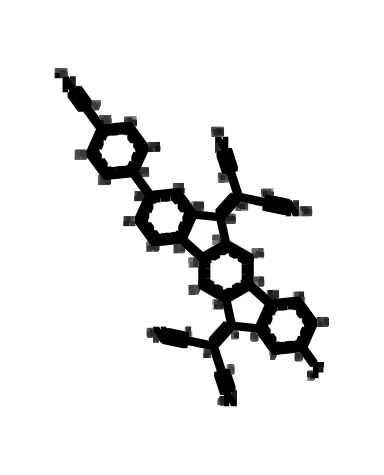 N#CC(C#N)=C1c2cc(F)ccc2-c2cc3c(cc21)-c1ccc(-c2ccc(C#N)cc2)cc1C3=C(C#N)C#N